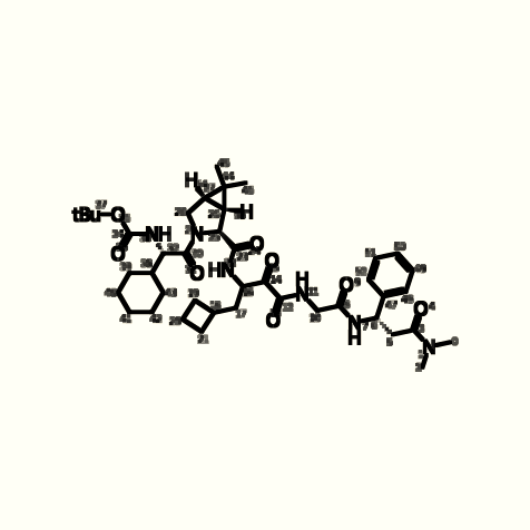 CN(C)C(=O)C[C@H](NC(=O)CNC(=O)C(=O)C(CC1CCC1)NC(=O)[C@@H]1[C@@H]2[C@H](CN1C(=O)[C@@H](NC(=O)OC(C)(C)C)C1CCCCC1)C2(C)C)c1ccccc1